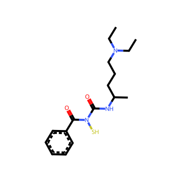 CCN(CC)CCCC(C)NC(=O)N(S)C(=O)c1ccccc1